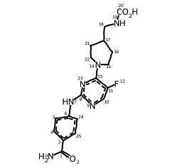 NC(=O)c1ccc(Nc2ncc(F)c(N3CCC(CNC(=O)O)CC3)n2)cc1